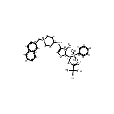 O=C(ON(C1SC=C(OC2CCN(Cc3ccc4ccccc4c3)CC2)N1Cl)S(=O)(=O)c1ccccc1)C(F)(F)F